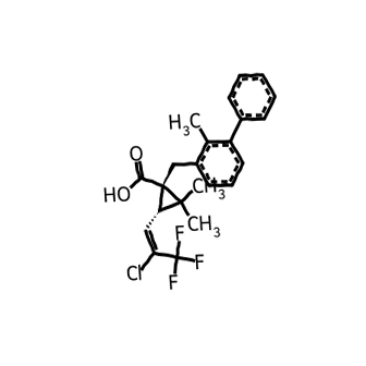 Cc1c(C[C@]2(C(=O)O)[C@@H](/C=C(/Cl)C(F)(F)F)C2(C)C)cccc1-c1ccccc1